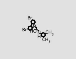 Cc1cc(C)cc(NCC(O)Cn2c3ccc(Br)cc3c3cc(Br)ccc32)c1